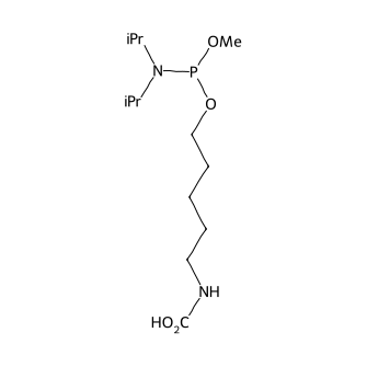 COP(OCCCCCNC(=O)O)N(C(C)C)C(C)C